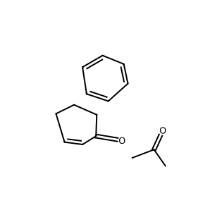 CC(C)=O.O=C1C=CCCC1.c1ccccc1